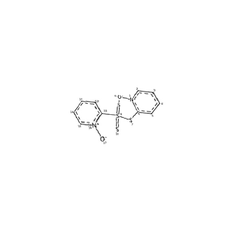 [O-][n+]1ccccc1SS(=S)(=S)c1cccc[n+]1[O-]